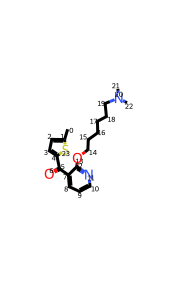 Cc1ccc(C(=O)c2cccnc2OCCCCCCN(C)C)s1